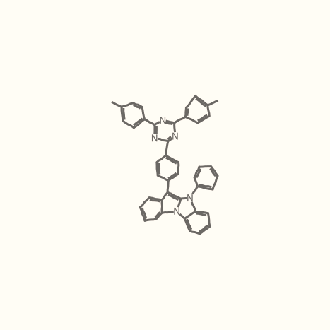 Cc1ccc(-c2nc(-c3ccc(C)cc3)nc(-c3ccc(-c4c5ccccc5n5c6ccccc6n(-c6ccccc6)c45)cc3)n2)cc1